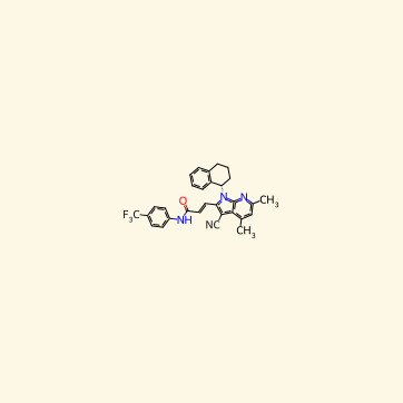 Cc1cc(C)c2c(C#N)c(C=CC(=O)Nc3ccc(C(F)(F)F)cc3)n([C@H]3CCCc4ccccc43)c2n1